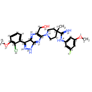 COc1cc(F)cc(NC(=N)C2(C)CCN(c3nc4[nH]nc(-c5cccc(OC)c5Cl)c4nc3CO)CC2)c1